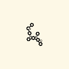 c1ccc(-c2cccc(-c3ccc(-n4c5ccccc5c5cc6c7cc8c(cc7n(-c7ccccc7)c6cc54)oc4ccccc48)cc3)n2)cc1